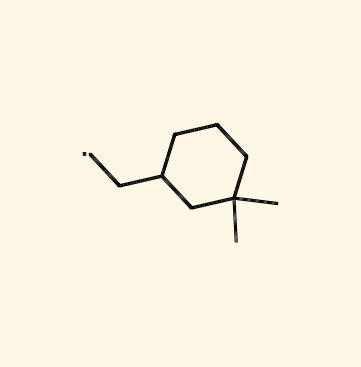 [CH2]CC1CCCC(C)(C)C1